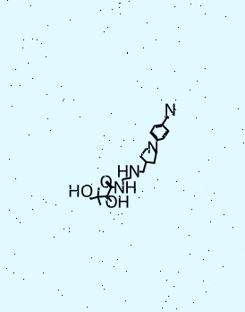 CC(C)(CO)C(O)C(=O)NCCNCC1CCN(c2ccc(C#N)cc2)CC1